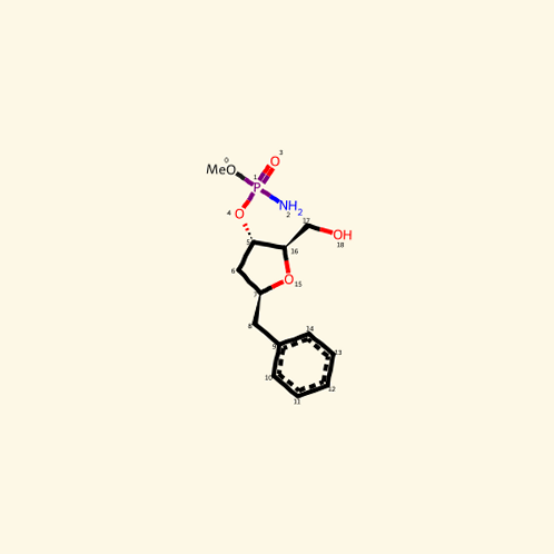 COP(N)(=O)O[C@H]1C[C@H](Cc2ccccc2)O[C@@H]1CO